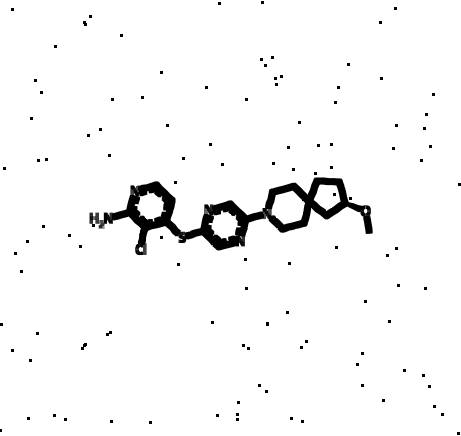 CO[C@@H]1CCC2(CCN(c3cnc(Sc4ccnc(N)c4Cl)cn3)CC2)C1